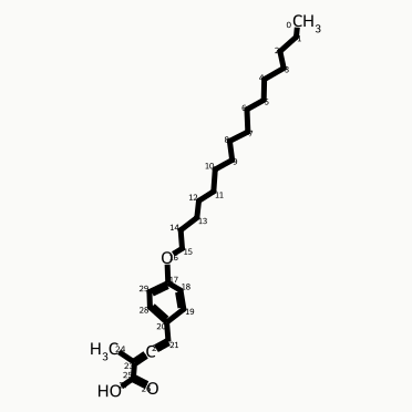 CCCCCCCCCCCCCCCCOc1ccc(C=C=C(C)C(=O)O)cc1